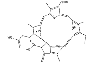 C=CC1=C(C)C2=NC/1=C\c1[nH]c(c(CC)c1C)/C=C1\N=C3C(=C1C)C(=O)C(C(=O)OC)C3C1N/C(=C\2)C(C)C1CCC(=O)O